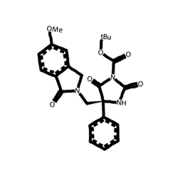 COc1ccc2c(c1)CN(C[C@]1(c3ccccc3)NC(=O)N(C(=O)OC(C)(C)C)C1=O)C2=O